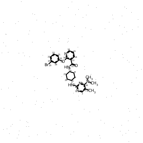 Cc1cnc(N[C@H]2CC[C@@H](NC(=O)c3cccnc3Oc3cccc(Br)c3)CC2)nc1N(C)C